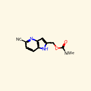 CNC(=O)OCc1cc2nc(C#N)ccc2[nH]1